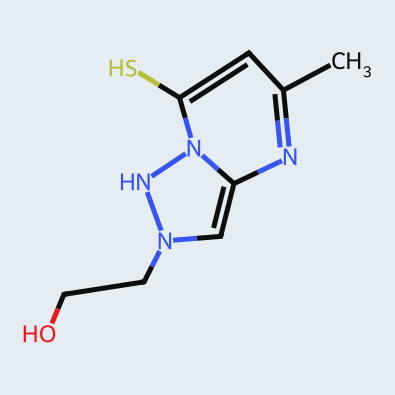 CC1=NC2=CN(CCO)NN2C(S)=C1